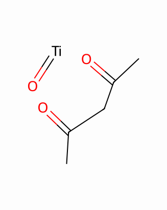 CC(=O)CC(C)=O.[O]=[Ti]